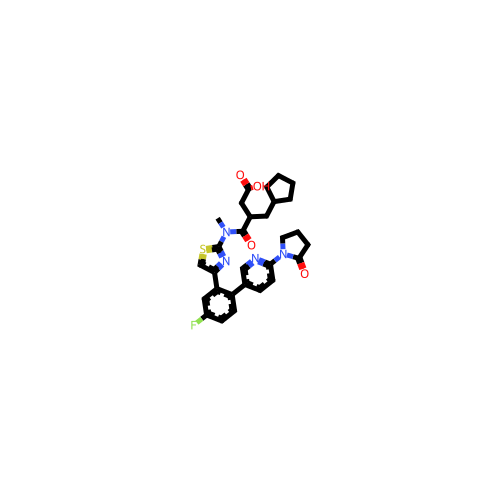 CN(C(=O)C(CC(=O)O)CC1CCCC1)c1nc(-c2cc(F)ccc2-c2ccc(N3CCCC3=O)nc2)cs1